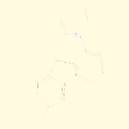 CCN(CC)c1cccc2c1Cc1c(C)cc(C)cc1-2